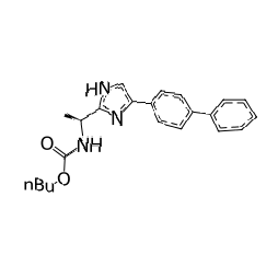 CCCCOC(=O)N[C@@H](C)c1nc(-c2ccc(-c3ccccc3)cc2)c[nH]1